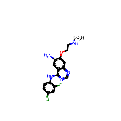 Nc1cc2c(Nc3ccc(Cl)cc3F)ncnc2cc1OCCNC(=O)O